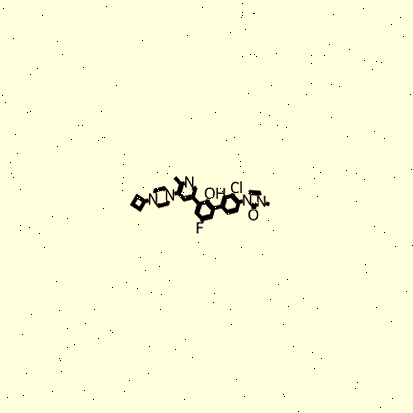 Cc1ncc(-c2cc(F)cc(-c3ccc(-n4ccn(C)c4=O)c(Cl)c3)c2O)cc1N1CCN(C2CCC2)CC1